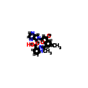 Cc1cc(C(C)Nc2ccccc2C(=O)O)c2oc(N3Cc4nccnc4C3)cc(=O)c2c1